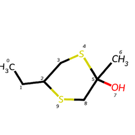 CCC1CSC(C)(O)CS1